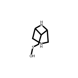 OSCC1C2CNCC1N2